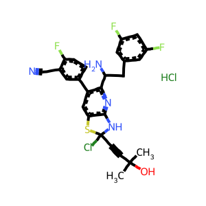 CC(C)(O)C#CC1(Cl)Nc2nc(C(N)Cc3cc(F)cc(F)c3)c(-c3ccc(F)c(C#N)c3)cc2S1.Cl